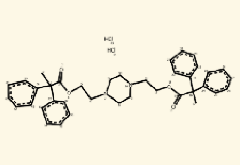 CC(C(=O)OCCN1CCN(CCOC(=O)C(C)(c2ccccc2)c2ccccc2)CC1)(c1ccccc1)c1ccccc1.Cl.Cl